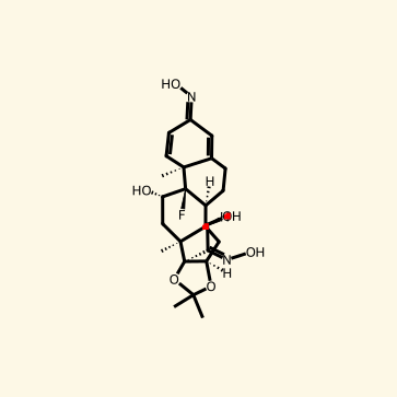 CC1(C)O[C@@H]2C[C@H]3[C@@H]4CCC5=C/C(=N/O)C=C[C@]5(C)[C@@]4(F)[C@@H](O)C[C@]3(C)[C@]2(/C(CO)=N/O)O1